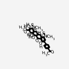 CC(=O)c1ccc(-c2cc(N(C)C)c3c(c2O)C(=O)C2=C(O)[C@@]4(O)C(=O)C(C(N)=O)=C(O)[C@@H](N(C)C)[C@H]4C[C@H]2C3)cc1